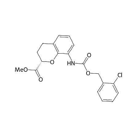 COC(=O)[C@@H]1CCc2cccc(NC(=O)OCc3ccccc3Cl)c2O1